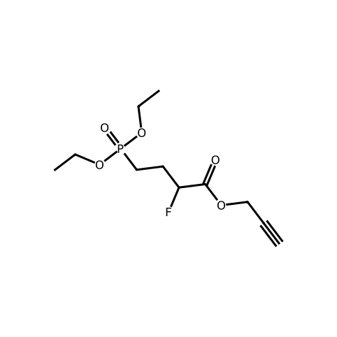 C#CCOC(=O)C(F)CCP(=O)(OCC)OCC